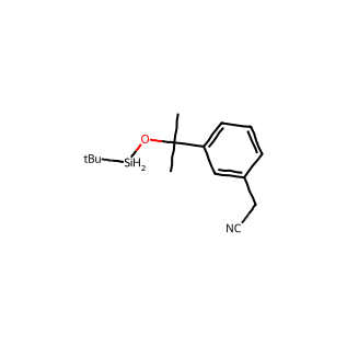 CC(C)(C)[SiH2]OC(C)(C)c1cccc(CC#N)c1